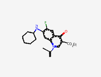 C=C(C)n1cc(C(=O)OCC)c(=O)c2cc(F)c(NC3CCCCC3)cc21